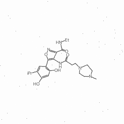 CCNC(=O)c1noc(-c2cc(C(C)C)c(O)cc2O)c1NC(=O)CCN1CCN(C)CC1